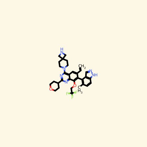 C=Cc1cc2c(N3CCC4(CC3)CNC4)nc(C3CCOCC3)nc2c(OCC(F)(F)F)c1-c1c(C)ccc2[nH]ncc12